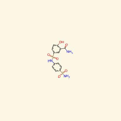 NC(=O)c1cc(S(=O)(=O)Nc2ccc(S(N)(=O)=O)cc2)ccc1O